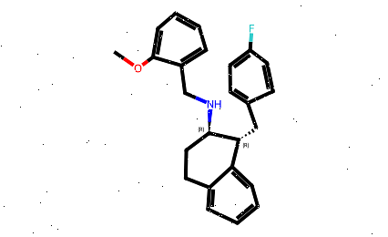 COc1ccccc1CN[C@@H]1CCc2ccccc2[C@H]1Cc1ccc(F)cc1